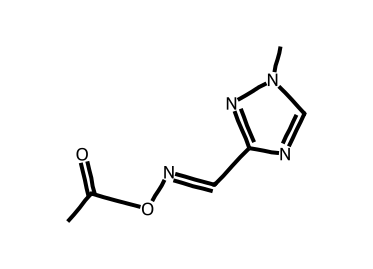 CC(=O)ON=Cc1ncn(C)n1